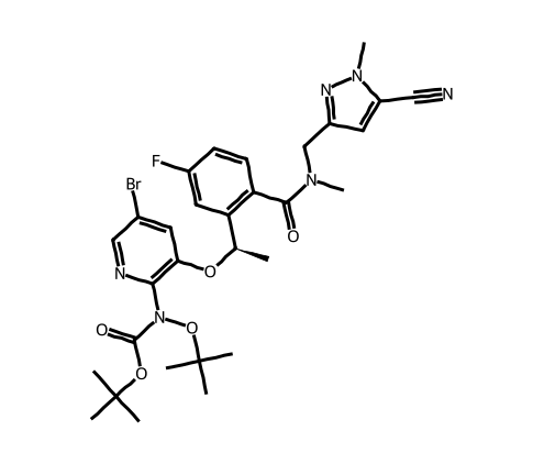 C[C@@H](Oc1cc(Br)cnc1N(OC(C)(C)C)C(=O)OC(C)(C)C)c1cc(F)ccc1C(=O)N(C)Cc1cc(C#N)n(C)n1